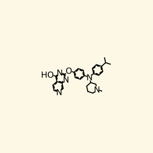 CC(C)c1ccc(N(c2ccc(Oc3nc(O)c4ccncc4n3)cc2)C2CCCN(C)C2)cc1